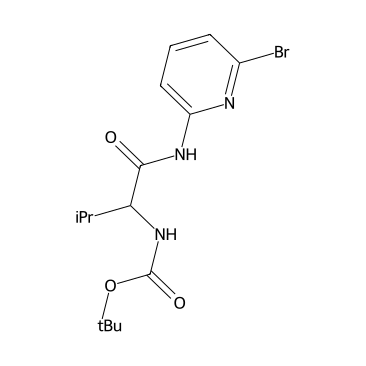 CC(C)C(NC(=O)OC(C)(C)C)C(=O)Nc1cccc(Br)n1